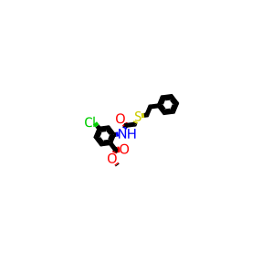 COC(=O)c1ccc(Cl)cc1NC(=O)CSCCc1ccccc1